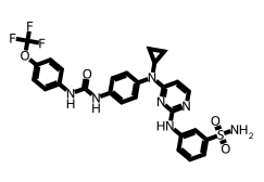 NS(=O)(=O)c1cccc(Nc2nccc(N(c3ccc(NC(=O)Nc4ccc(OC(F)(F)F)cc4)cc3)C3CC3)n2)c1